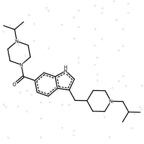 CC(C)CN1CCC(Cc2c[nH]c3cc(C(=O)N4CCN(C(C)C)CC4)ccc23)CC1